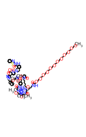 COCCOCCOCCOCCOCCOCCOCCOCCOCCOCCOCCOCC(=O)NCCCC[C@@H](NC(=O)CCCCCN1C(=O)C=CC1=O)C(=O)N[C@H](C)C(=O)N[C@@H](C)C(=O)N[C@@H](C)C(=O)Nc1ccc(COC(=O)N(C)CCOC23CC4CC(CC(Cn5ncc(-c6ccc(N7CCc8cccc(C(=O)Nc9nc%10ccccc%10s9)c8C7)nc6C(=O)O)c5C)(C4)C2)C3)cc1